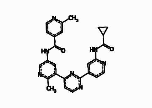 Cc1cc(C(=O)Nc2cnc(C)c(-c3ccnc(-c4ccnc(NC(=O)C5CC5)c4)n3)c2)ccn1